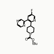 CC(C)(C)OC(=O)N1CCC(c2ncc(F)cc2-c2cnccn2)CC1